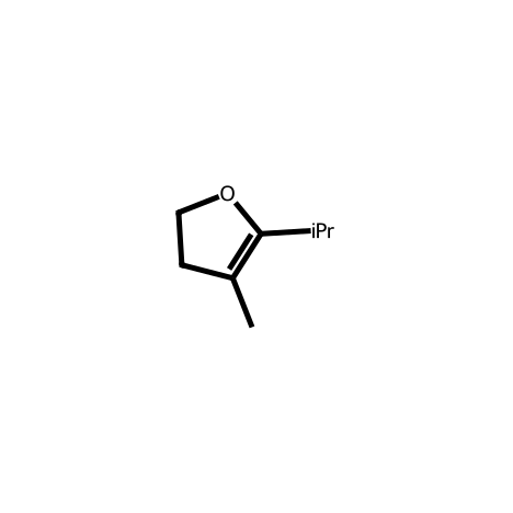 CC1=C(C(C)C)OCC1